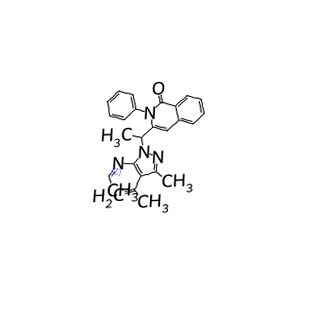 C=C(C)c1c(C)nn(C(C)c2cc3ccccc3c(=O)n2-c2ccccc2)c1/N=C\C